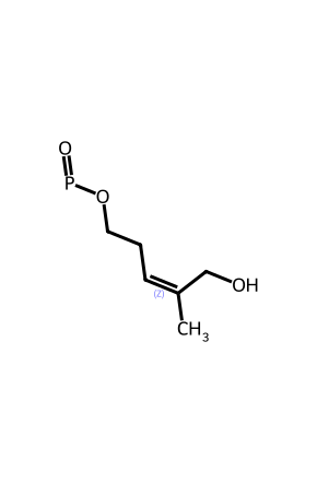 C/C(=C/CCOP=O)CO